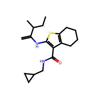 C=C(Nc1sc2c(c1C(=O)NCC1CC1)CCCC2)C(C)CC